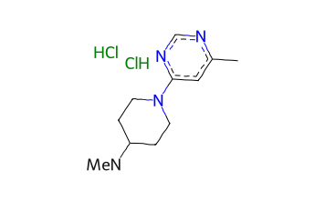 CNC1CCN(c2cc(C)ncn2)CC1.Cl.Cl